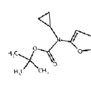 CC(C)(C)OC(=O)N(c1ccco1)C1CC1